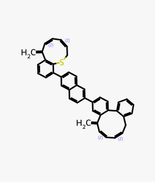 C=C1/C=C\C=C/Cc2ccccc2-c2ccc(-c3ccc4cc(-c5cccc6c5SC/C=C\C=C/C6=C)ccc4c3)cc21